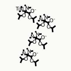 CC(C)OC([O-])C(OC(C)C)(N(C)C)N(C)C.CC(C)OC([O-])C(OC(C)C)(N(C)C)N(C)C.CC(C)OC([O-])C(OC(C)C)(N(C)C)N(C)C.CC(C)OC([O-])C(OC(C)C)(N(C)C)N(C)C.[Ti+4]